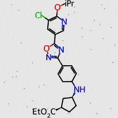 CCOC(=O)[C@@H]1CC[C@H](NC2C=CC(c3noc(-c4cnc(OC(C)C)c(Cl)c4)n3)=CC2)C1